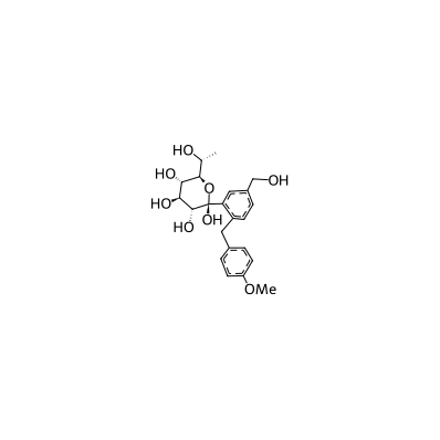 COc1ccc(Cc2ccc(CO)cc2[C@@]2(O)O[C@H]([C@@H](C)O)[C@@H](O)[C@H](O)[C@H]2O)cc1